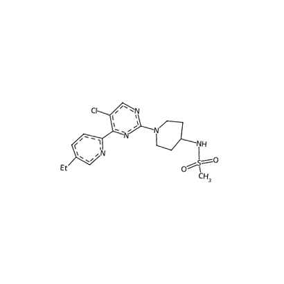 CCc1ccc(-c2nc(N3CCC(NS(C)(=O)=O)CC3)ncc2Cl)nc1